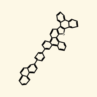 c1ccc2c(c1)ccc1cc(-c3ccc(-c4ccc5c(c4)c4ccccc4c4c5ccc5c4sc4c6ccccc6c6ccccc6c54)cc3)ccc12